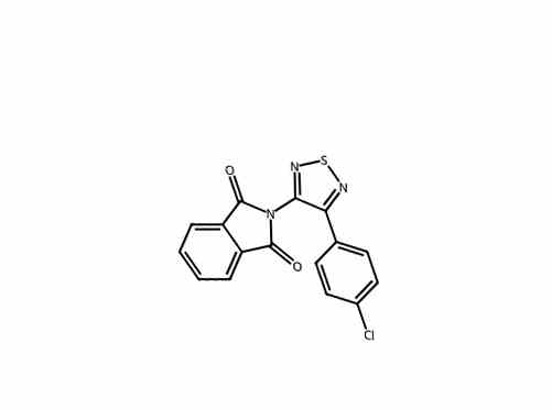 O=C1c2ccccc2C(=O)N1c1nsnc1-c1ccc(Cl)cc1